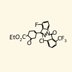 CCOC(=O)C1CC=C(c2nn(C(=O)c3c(Cl)cccc3C(F)(F)F)c3cccc(F)c23)CC1=O